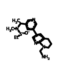 CC[S+]([O-])N(C)[C@H](C)c1cncc(-c2cnc3c(c2)CCCN3CN)c1